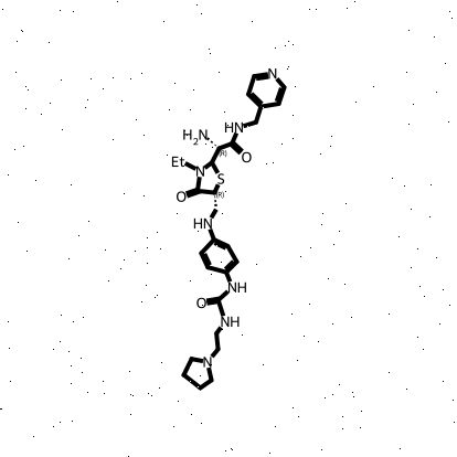 CCN1C(=O)[C@@H](CNc2ccc(NC(=O)NCCN3CCCC3)cc2)SC1[C@H](N)C(=O)NCc1ccncc1